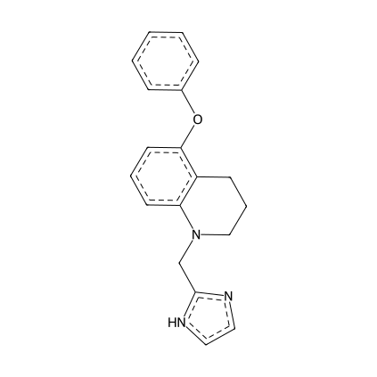 c1ccc(Oc2cccc3c2CCCN3Cc2ncc[nH]2)cc1